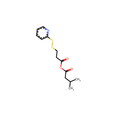 CC(C)CC(=O)OC(=O)CCSSc1ccccn1